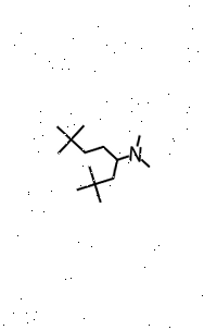 CN(C)C(CCC(C)(C)C)CC(C)(C)C